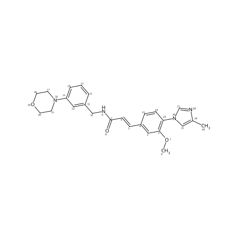 COc1cc(/C=C/C(=O)NCc2cccc(N3CCOCC3)c2)ccc1-n1cnc(C)c1